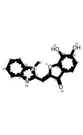 Cn1c(C=C2Oc3c(ccc(O)c3O)C2=O)nc2ccccc21